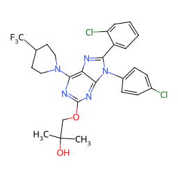 CC(C)(O)COc1nc(N2CCC(C(F)(F)F)CC2)c2nc(-c3ccccc3Cl)n(-c3ccc(Cl)cc3)c2n1